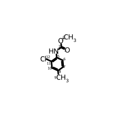 COC(=O)Nc1ccc(C)cc1Cl